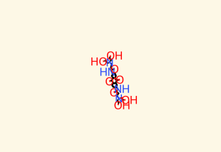 O=C(CCN(CCO)CCO)Nc1ccc2c(c1)C(=O)c1ccc(NC(=O)CCN(CCO)CCO)cc1C2=O